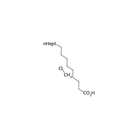 CCCCCCCCCCCCCCCC(=O)O.CCl